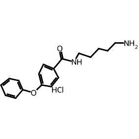 Cl.NCCCCCNC(=O)c1ccc(Oc2ccccc2)cc1